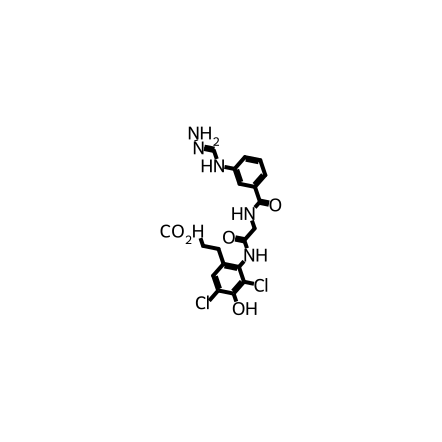 NN=CNc1cccc(C(=O)NCC(=O)Nc2c(CCC(=O)O)cc(Cl)c(O)c2Cl)c1